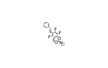 O=C(Oc1c(F)c(F)c(SCc2ccccc2)c(F)c1F)N1CCC1